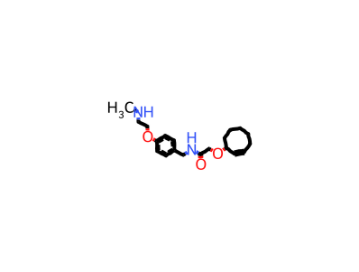 CNCCOc1ccc(CNC(=O)COC2C#CCCCCC2)cc1